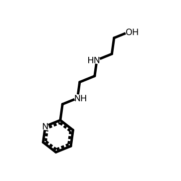 OCCNCCNCc1ccccn1